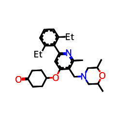 CCc1cccc(CC)c1-c1cc(OC2CCC(=O)CC2)c(CN2CC(C)OC(C)C2)c(C)n1